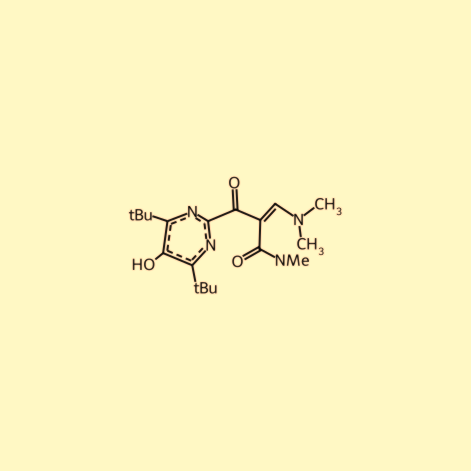 CNC(=O)C(=CN(C)C)C(=O)c1nc(C(C)(C)C)c(O)c(C(C)(C)C)n1